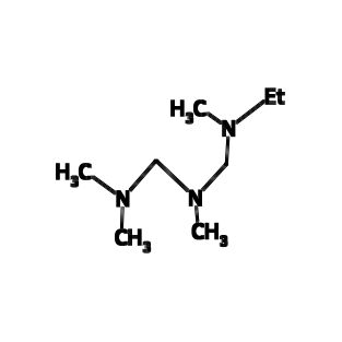 CCN(C)CN(C)CN(C)C